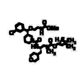 COC(=O)NCCOC(c1cccc(Cl)c1)[C@@H]1CCCN(C(=O)N[C@@H](CC2CCOCC2)CN(C)C(=O)OCC[Si](C)(C)C)C1